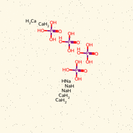 O=P(O)(O)O.O=P(O)(O)O.O=P(O)(O)O.O=P(O)(O)O.[CaH2].[CaH2].[CaH2].[CaH2].[NaH].[NaH].[NaH]